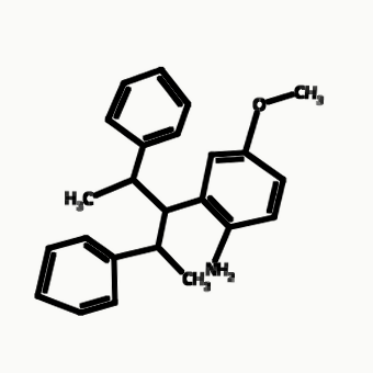 COc1ccc(N)c(C(C(C)c2ccccc2)C(C)c2ccccc2)c1